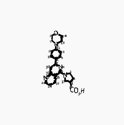 O=C(O)C1CCN(c2nc(-c3ccc(N4CCOCC4)cc3)cc3ncccc23)C1